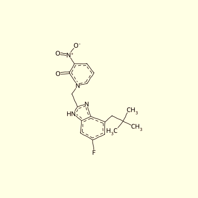 CC(C)(C)Cc1cc(F)cc2[nH]c(Cn3cccc([N+](=O)[O-])c3=O)nc12